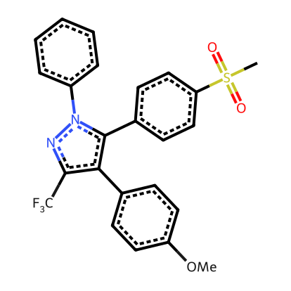 COc1ccc(-c2c(C(F)(F)F)nn(-c3ccccc3)c2-c2ccc(S(C)(=O)=O)cc2)cc1